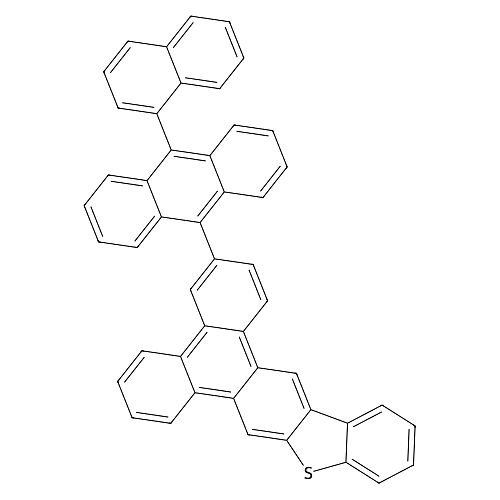 c1ccc2c(-c3c4ccccc4c(-c4ccc5c(c4)c4ccccc4c4cc6sc7ccccc7c6cc54)c4ccccc34)cccc2c1